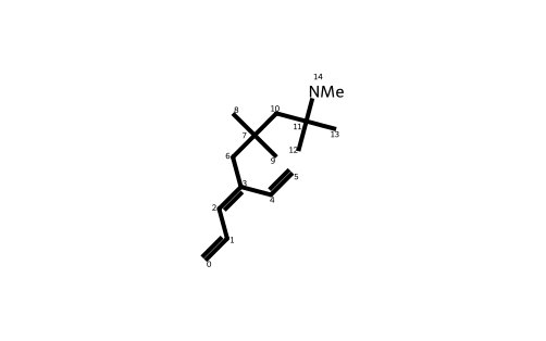 C=C/C=C(\C=C)CC(C)(C)CC(C)(C)NC